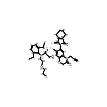 C#CCN1C(=O)COc2cc(F)c(N3C(=O)C4=C(CCCC4)C3=O)cc21.CCCOCCN(C(=O)CCl)c1c(CC)cccc1CC